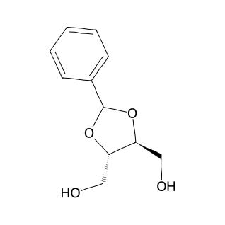 OC[C@@H]1OC(c2ccccc2)O[C@H]1CO